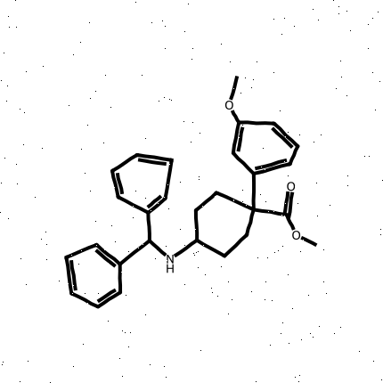 COC(=O)C1(c2cccc(OC)c2)CCC(NC(c2ccccc2)c2ccccc2)CC1